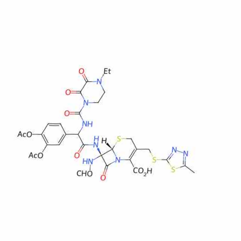 CCN1CCN(C(=O)NC(C(=O)N[C@]2(NC=O)C(=O)N3C(C(=O)O)=C(CSc4nnc(C)s4)CS[C@H]32)c2ccc(OC(C)=O)c(OC(C)=O)c2)C(=O)C1=O